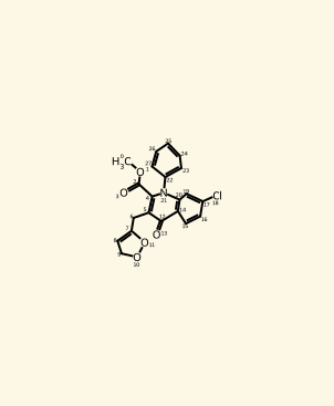 COC(=O)c1c(CC2=CCOO2)c(=O)c2ccc(Cl)cc2n1-c1ccccc1